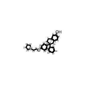 Oc1ccc2c(c1)CCC(c1ccccc1)(c1ccc(OCCN3CCCC3)cc1)C2